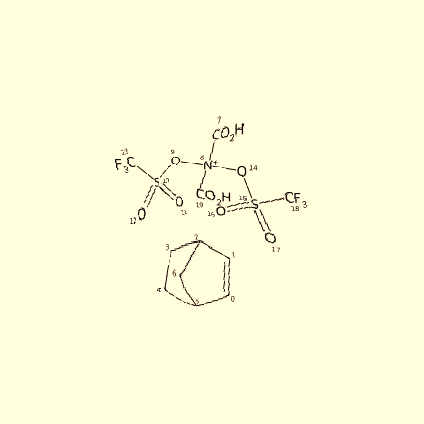 C1=CC2CCC1C2.O=C(O)[N+](OS(=O)(=O)C(F)(F)F)(OS(=O)(=O)C(F)(F)F)C(=O)O